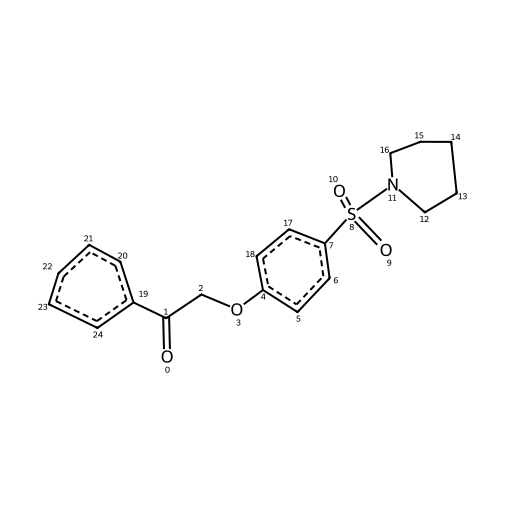 O=C(COc1ccc(S(=O)(=O)N2CCCCC2)cc1)c1ccccc1